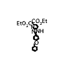 CCOC(=O)C(C(=O)OCC)c1ccc2[nH]c(-c3ccc(OCc4ccccc4)cc3)nc2n1